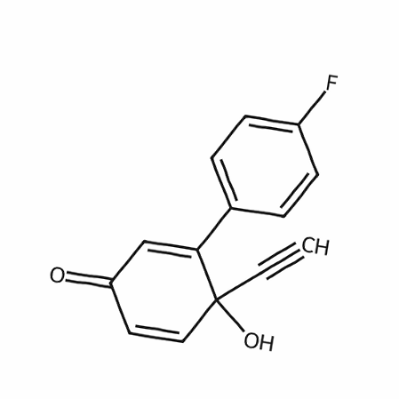 C#CC1(O)C=CC(=O)C=C1c1ccc(F)cc1